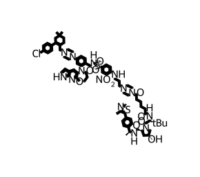 Cc1ncsc1-c1ccc([C@H](C)NC(=O)[C@@H]2C[C@@H](O)CN2C(=O)[C@@H](NC(=O)CCCCC(=O)N2CCN(CCCNc3ccc(S(=O)(=O)NC(=O)c4ccc(N5CCN(CC6=C(c7ccc(Cl)cc7)CC(C)(C)CC6)CC5)cc4N4CCCOc5nc6[nH]ccc6cc54)cc3[N+](=O)[O-])CC2)C(C)(C)C)cc1